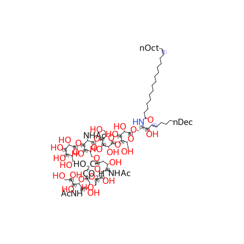 CCCCCCCC/C=C\CCCCCCCCCCCCCC(=O)N[C@@H](CO[C@@H]1OC(CO)[C@@H](O[C@@H]2OC(CO)[C@H](O[C@@H]3OC(CO[C@]4(C(=O)O)CC(O)[C@@H](NC(C)=O)C([C@H](O)[C@@H](CO)O[C@]5(C(=O)O)CC(O)[C@@H](NC(C)=O)C([C@H](O)[C@H](O)CO)O5)O4)[C@H](O)[C@H](O[C@@H]4OC(CO)[C@H](O)[C@H](O)C4O)C3NC(C)=O)[C@H](O)C2O)[C@H](O)C1O)[C@H](O)/C=C/CCCCCCCCCCCCC